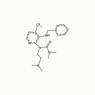 CN(C)CCN(C(=O)N(C)C)c1nccc(C(F)(F)F)c1NCc1ccccc1